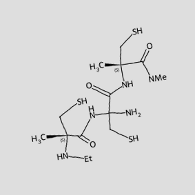 CCN[C@](C)(CS)C(=O)NC(N)(CS)C(=O)N[C@](C)(CS)C(=O)NC